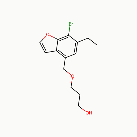 CCc1cc(COCCCO)c2ccoc2c1Br